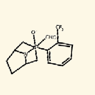 O=CN1CC2CCC(C1)N2[S+]([O-])c1ccccc1C(F)(F)F